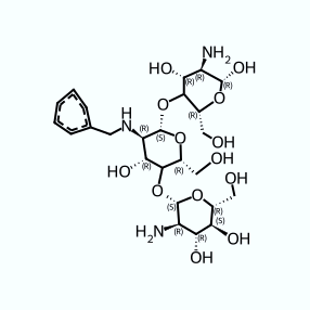 N[C@H]1[C@H](OC2[C@@H](CO)O[C@@H](OC3[C@@H](CO)O[C@@H](O)[C@H](N)[C@H]3O)[C@H](NCc3ccccc3)[C@H]2O)O[C@H](CO)[C@@H](O)[C@@H]1O